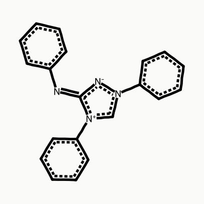 c1ccc(N=c2[n-]n(-c3ccccc3)c[n+]2-c2ccccc2)cc1